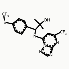 CC(C)(O)C(Nc1cc(C(F)(F)F)nc2ncnn12)c1ccc(SC(F)(F)F)cc1